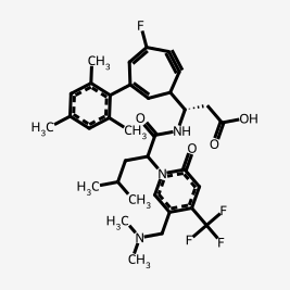 Cc1cc(C)c(C2=CC([C@H](CC(=O)O)NC(=O)C(CC(C)C)n3cc(CN(C)C)c(C(F)(F)F)cc3=O)C#CC(F)=C2)c(C)c1